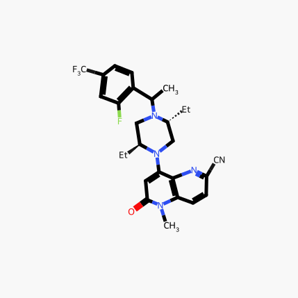 CC[C@H]1CN(C(C)c2ccc(C(F)(F)F)cc2F)[C@H](CC)CN1c1cc(=O)n(C)c2ccc(C#N)nc12